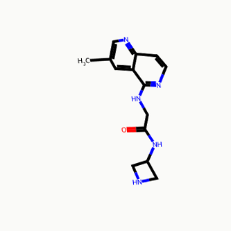 Cc1cnc2ccnc(NCC(=O)NC3CNC3)c2c1